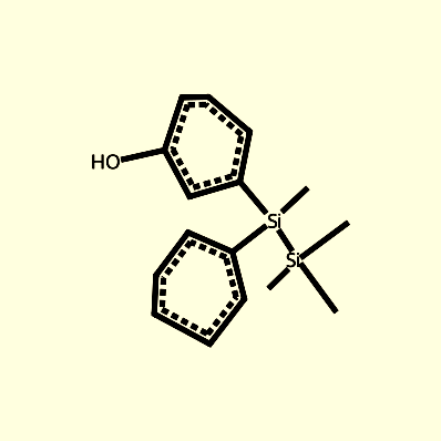 C[Si](C)(C)[Si](C)(c1ccccc1)c1cccc(O)c1